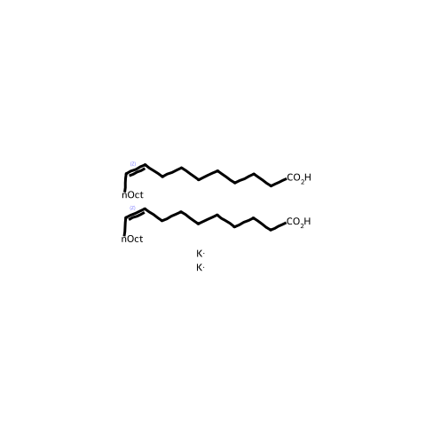 CCCCCCCC/C=C\CCCCCCCC(=O)O.CCCCCCCC/C=C\CCCCCCCC(=O)O.[K].[K]